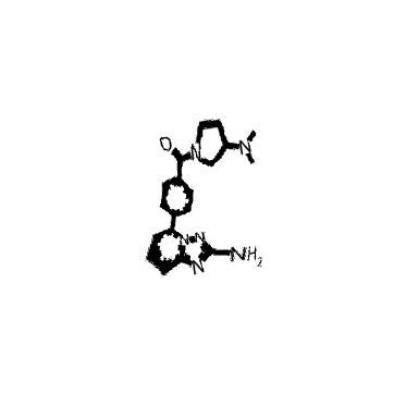 CN(C)C1CCN(C(=O)c2ccc(-c3cccc4nc(N)nn34)cc2)C1